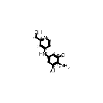 Nc1c(Cl)cc(Nc2ccnc(CO)c2)cc1Cl